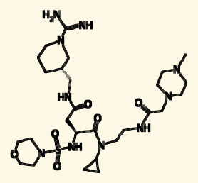 CN1CCN(CC(=O)NCCN(C(=O)[C@H](CC(=O)NC[C@@H]2CCCN(C(=N)N)C2)NS(=O)(=O)N2CCOCC2)C2CC2)CC1